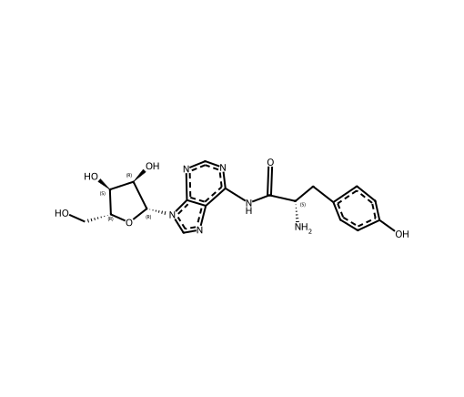 N[C@@H](Cc1ccc(O)cc1)C(=O)Nc1ncnc2c1ncn2[C@@H]1O[C@H](CO)[C@@H](O)[C@H]1O